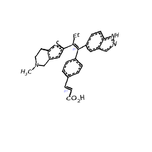 CC/C(=C(/c1ccc(/C=C/C(=O)O)cc1)c1ccc2[nH]ncc2c1)c1cc2c(s1)CCN(C)C2